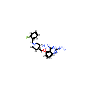 Nc1nc(N)c2c(OCC3CCN(Cc4ccccc4F)CC3)cccc2n1